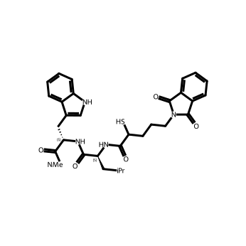 CNC(=O)[C@H](Cc1c[nH]c2ccccc12)NC(=O)[C@H](CC(C)C)NC(=O)C(S)CCCN1C(=O)c2ccccc2C1=O